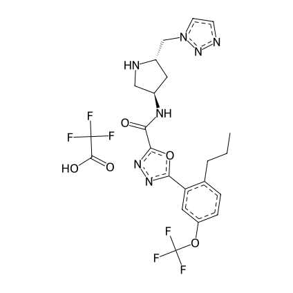 CCCc1ccc(OC(F)(F)F)cc1-c1nnc(C(=O)N[C@H]2CN[C@H](Cn3ccnn3)C2)o1.O=C(O)C(F)(F)F